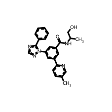 Cc1ccc(-c2cc(C(=O)NC(C)CO)cc(-n3ncnc3-c3ccccc3)c2)nc1